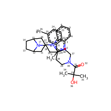 Cc1nc2ccccc2n1C1CC2CCC(C1)N2CCC1(c2cccc(C(C)C)c2)CCN(C(=O)C(C)(C)O)CC1